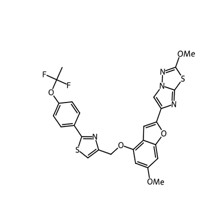 COc1cc(OCc2csc(-c3ccc(OC(C)(F)F)cc3)n2)c2cc(-c3cn4nc(OC)sc4n3)oc2c1